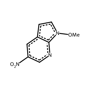 COn1ccc2cc([N+](=O)[O-])cnc21